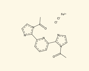 CC(=O)n1ccnc1-c1cccc(-c2nccn2C(C)=O)n1.[Cl-].[Cl-].[Fe+2]